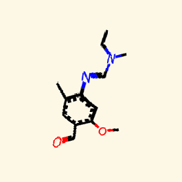 CCN(C)/C=N/c1cc(OC)c(C=O)cc1C